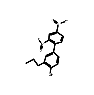 CCCc1cc(-c2ccc([N+](=O)[O-])cc2[N+](=O)[O-])ccc1O